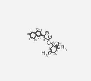 CC1=CC(COC(=O)CC(=O)c2ccc3ccccc3c2)C(C)(C)CC1